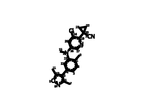 Cc1ccc(-c2c(C)noc2C)cc1N(C)c1cnc(C2(C#N)CC2)c(Cl)c1